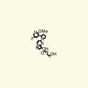 COc1ncc(F)cc1[C@H]1CCCN1c1ccn2ncc(OC(=O)NC[C@@H](C)O)c2n1